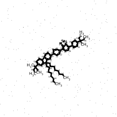 CCCCCCCCC1(CCCCCCCC)c2cc(-c3ccc(-c4ccc(-c5ccc(C(C)(CC)CC)cc5)c5nsnc45)cc3)ccc2-c2ccc(C(C)(CC)CC)cc21